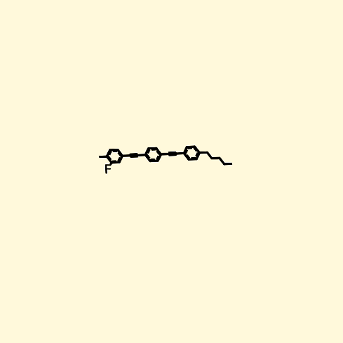 CCCCCc1ccc(C#Cc2ccc(C#Cc3ccc(C)c(F)c3)cc2)cc1